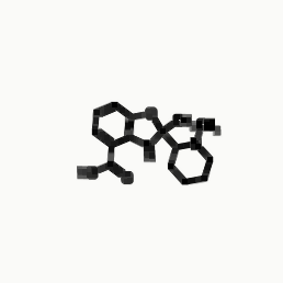 CN1CCCCC1C1(C)Nc2c(cccc2C(=O)O)O1